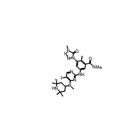 CNC(=O)c1cc(Nc2ncc(F)c(N(C)C3CC(C)(C)NC(C)(C)C3)n2)cc(-n2nnn(C)c2=O)c1C